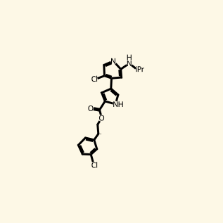 CC(C)Nc1cc(-c2c[nH]c(C(=O)OC[CH]c3cccc(Cl)c3)c2)c(Cl)cn1